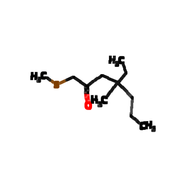 CCCC(C)(CC)CC(=O)CSC